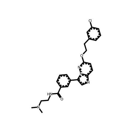 CN(C)CCNC(=O)c1cccc(-c2cnc3ccc(OCCc4cccc(Cl)c4)nn23)c1